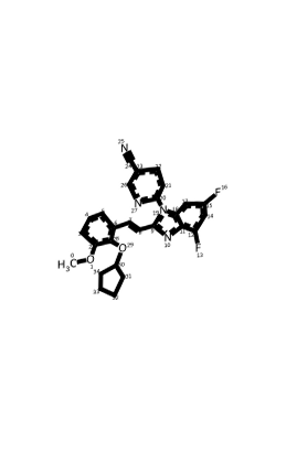 COc1cccc(C=Cc2nc3c(F)cc(F)cc3n2-c2ccc(C#N)cn2)c1OC1CCCC1